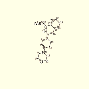 CNc1nc(C2=CC=C(N3CCOCC3)CC2)cc2nccnc12